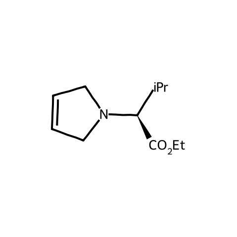 CCOC(=O)[C@H](C(C)C)N1CC=CC1